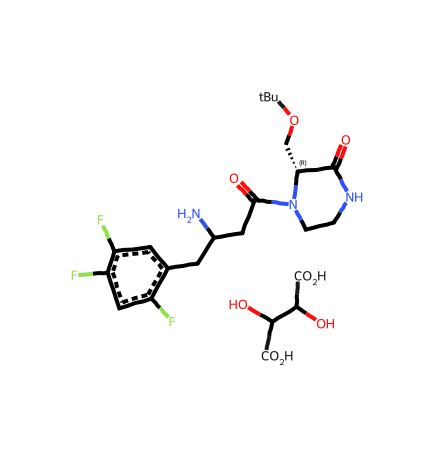 CC(C)(C)OC[C@@H]1C(=O)NCCN1C(=O)CC(N)Cc1cc(F)c(F)cc1F.O=C(O)C(O)C(O)C(=O)O